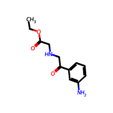 CCOC(=O)CNCC(=O)c1cccc(N)c1